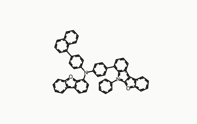 c1ccc(-n2c3oc4ccccc4c3c3cccc(-c4ccc(N(c5ccc(-c6cccc7ccccc67)cc5)c5cccc6c5oc5ccccc56)cc4)c32)cc1